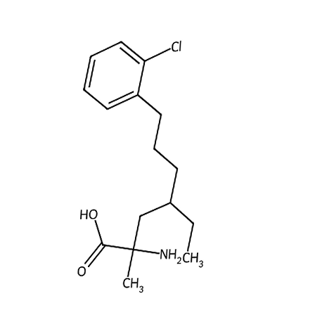 CCC(CCCc1ccccc1Cl)CC(C)(N)C(=O)O